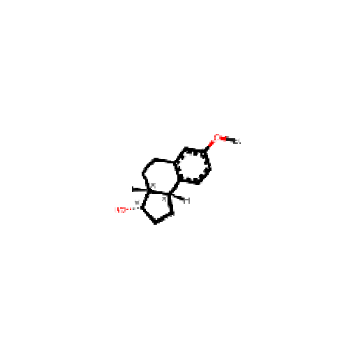 CCOc1ccc2c(c1)CC[C@H]1[C@@H](O)CC[C@@H]21